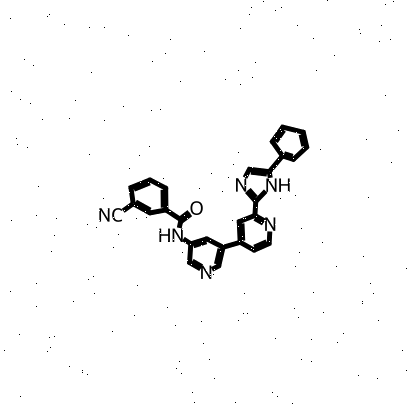 N#Cc1cccc(C(=O)Nc2cncc(-c3ccnc(-c4ncc(-c5ccccc5)[nH]4)c3)c2)c1